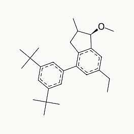 CCc1cc(-c2cc(C(C)(C)C)cc(C(C)(C)C)c2)c2c(c1)[C@H](OC)C(C)C2